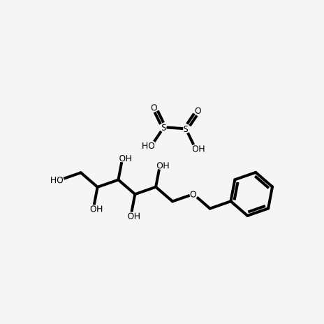 O=S(O)S(=O)O.OCC(O)C(O)C(O)C(O)COCc1ccccc1